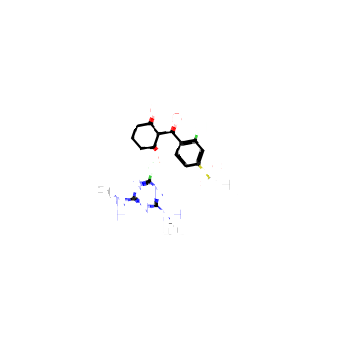 CCNc1nc(Cl)nc(NC(C)(C)C)n1.CS(=O)(=O)c1ccc(C(=O)C2C(=O)CCCC2=O)c(Cl)c1